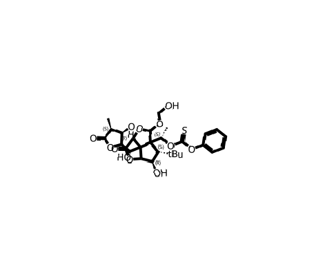 C[C@@H]1C(=O)OC([C@H](O)C23C4OC(OCO)C2([C@H](C)OC(=S)Oc2ccccc2)[C@H](C(C)(C)C)[C@@H](O)C3OC4=O)[C@@H]1O